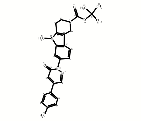 Cc1ccc(-c2cnn(-c3ccc4c5c(n(C)c4c3)CCN(C(=O)OC(C)(C)C)C5)c(=O)c2)cc1